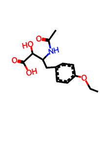 CCOc1ccc(CC(NC(C)=O)C(O)C(=O)O)cc1